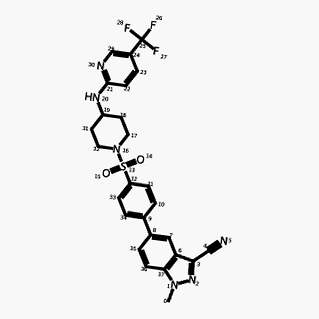 Cn1nc(C#N)c2cc(-c3ccc(S(=O)(=O)N4CCC(Nc5ccc(C(F)(F)F)cn5)CC4)cc3)ccc21